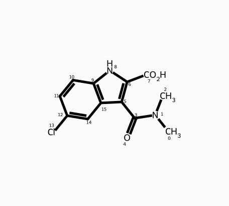 CN(C)C(=O)c1c(C(=O)O)[nH]c2ccc(Cl)cc12